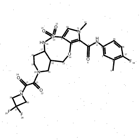 Cc1cc(NC(=O)c2c3c(cn2C)S(=O)(=O)NC2CCN(C(=O)C(=O)N4CC(F)(F)C4)CC2CO3)ccc1F